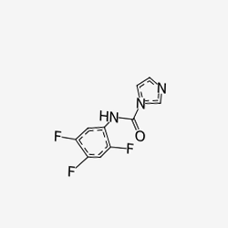 O=C(Nc1cc(F)c(F)cc1F)n1ccnc1